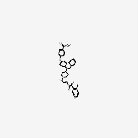 Cc1ccncc1C(=O)NCCC(C)N1CCC(N(Cc2ccccc2)c2ccc(Oc3ccc(C(=O)O)cc3)cc2)CC1